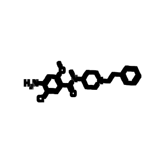 COc1cc(N)c(Cl)cc1C(=O)N(C)C1CCN(CCc2ccccc2)CC1